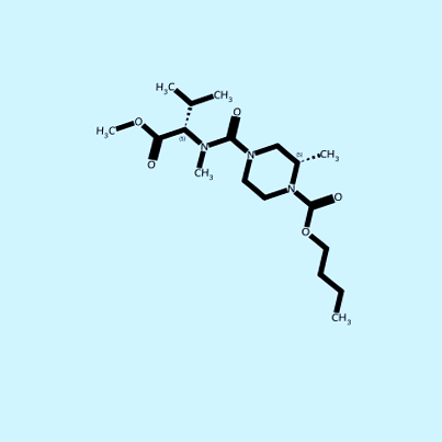 CCCCOC(=O)N1CCN(C(=O)N(C)[C@H](C(=O)OC)C(C)C)C[C@@H]1C